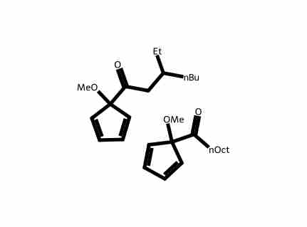 CCCCC(CC)CC(=O)C1(OC)C=CC=C1.CCCCCCCCC(=O)C1(OC)C=CC=C1